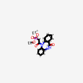 CCOP(=O)(CC(=O)N1c2ccccc2NC(=O)c2ccccc21)OCC